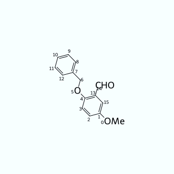 [CH2]Oc1ccc(OCc2ccccc2)c(C=O)c1